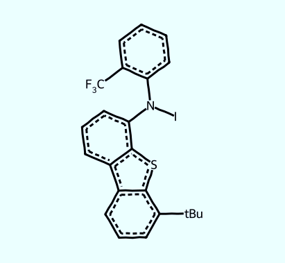 CC(C)(C)c1cccc2c1sc1c(N(I)c3ccccc3C(F)(F)F)cccc12